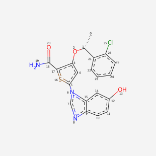 C[C@@H](Oc1cc(-n2cnc3ccc(O)cc32)sc1C(N)=O)c1ccccc1Cl